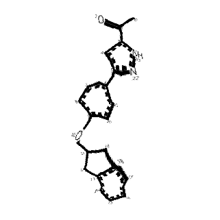 CC(=O)c1cc(-c2ccc(OC3Cc4ccccc4C3)cc2)n[nH]1